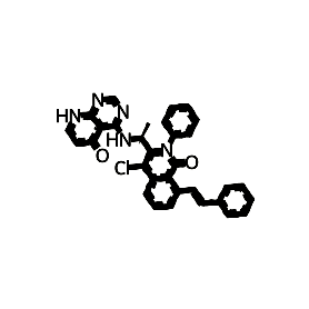 C[C@H](Nc1ncnc2[nH]ccc(=O)c12)c1c(Cl)c2cccc(/C=C/c3ccccc3)c2c(=O)n1-c1ccccc1